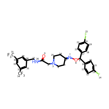 O=C(CN1CCC(=NOC(c2ccc(F)cc2)c2ccc(F)cc2)CC1)NCc1cc(C(F)(F)F)cc(C(F)(F)F)c1